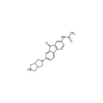 CC(=O)Nc1ccc2c(c1)C(=O)c1cc(N3CC4CNCC4C3)ccc1-2